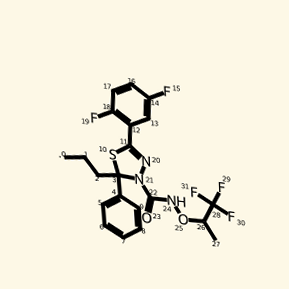 [CH2]CCC1(c2ccccc2)SC(c2cc(F)ccc2F)=NN1C(=O)NOC(C)C(F)(F)F